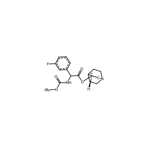 CC(C)(C)OC(=O)NC(C(=O)O[C@H]1CN2CCC1CC2)c1cccc(F)c1